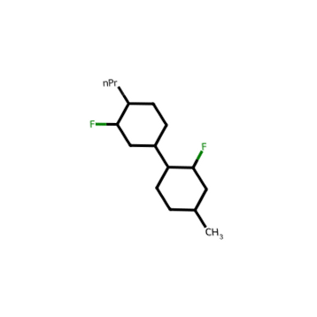 CCCC1CCC(C2CCC(C)CC2F)CC1F